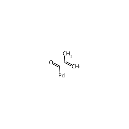 O=[CH][Pd].[CH]=CC